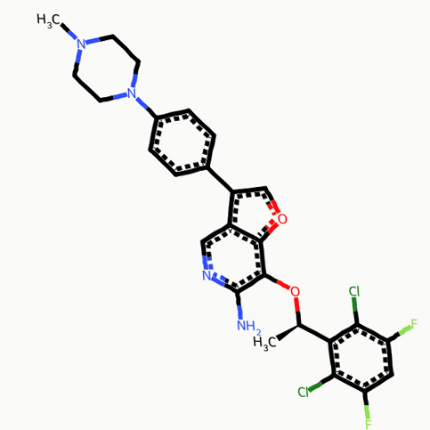 C[C@@H](Oc1c(N)ncc2c(-c3ccc(N4CCN(C)CC4)cc3)coc12)c1c(Cl)c(F)cc(F)c1Cl